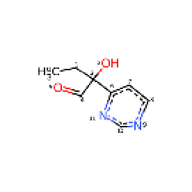 CCC(O)(C=O)c1ccncn1